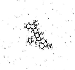 CC#CCn1c(N2CCC[C@@H](N)C2)c(C(=O)N2CCCC2)c2c1c(=O)n(Cc1nc(C)c3ccccc3n1)c(=O)n2C